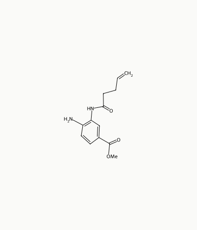 C=CCCC(=O)Nc1cc(C(=O)OC)ccc1N